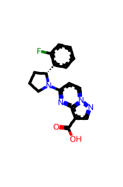 O=C(O)c1cnn2ccc(N3CCC[C@@H]3c3ccccc3F)nc12